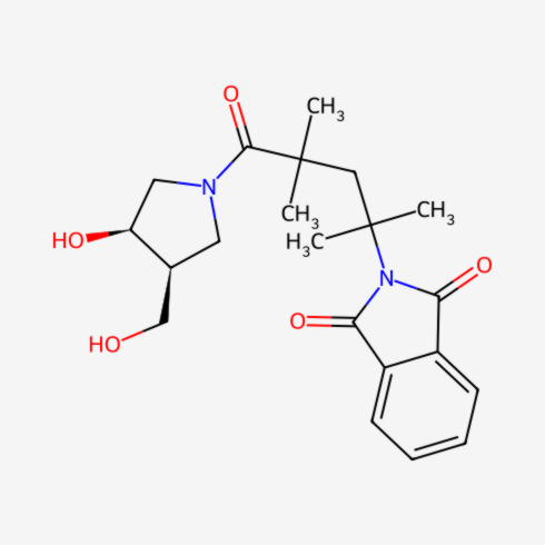 CC(C)(CC(C)(C)N1C(=O)c2ccccc2C1=O)C(=O)N1C[C@@H](CO)[C@@H](O)C1